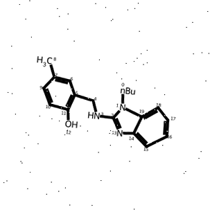 CCCCn1c(NCc2cc(C)ccc2O)nc2ccccc21